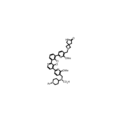 COc1nc(-c2cccc(-c3nccc(-c4ccc(CN(C(=O)O)C5CCN(C(C)=O)CC5)c(OC)n4)c3Cl)c2Cl)ccc1CN1CC2(CNC(=O)C2)C1